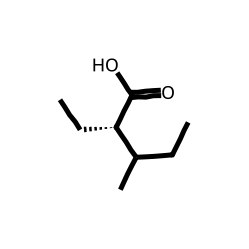 CCC(C)[C@H](CC)C(=O)O